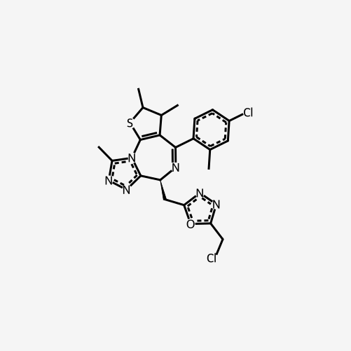 Cc1cc(Cl)ccc1C1=N[C@@H](Cc2nnc(CCl)o2)c2nnc(C)n2C2=C1C(C)C(C)S2